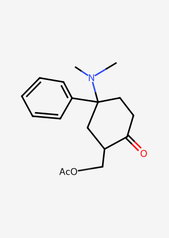 CC(=O)OCC1CC(c2ccccc2)(N(C)C)CCC1=O